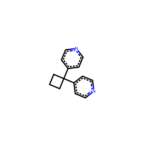 c1cc(C2(c3ccncc3)CCC2)ccn1